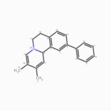 CC1=CC2c3cc(-c4ccccc4)ccc3CCN2C=C1C